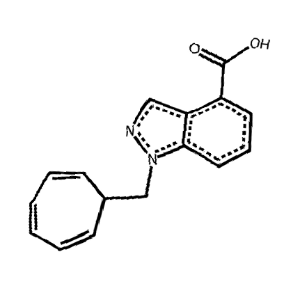 O=C(O)c1cccc2c1cnn2CC1C=CC=CC=C1